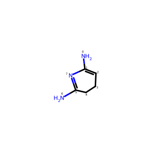 NC1=CCCC(N)=N1